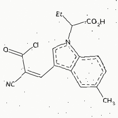 CCC(C(=O)O)n1cc(C=C(C#N)C(=O)Cl)c2cc(C)ccc21